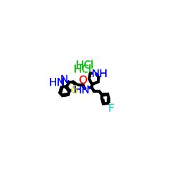 Cl.Cl.O=C(NC(CCc1ccc(F)cc1)C1CCNCC1)C1=Cc2n[nH]c3cccc(c23)S1